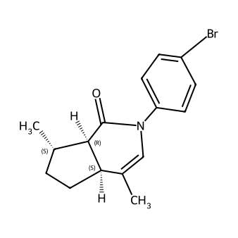 CC1=CN(c2ccc(Br)cc2)C(=O)[C@H]2[C@@H]1CC[C@@H]2C